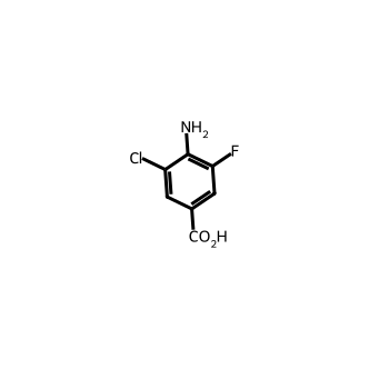 Nc1c(F)cc(C(=O)O)cc1Cl